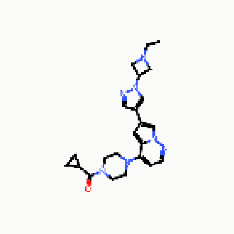 CCN1CC(n2cc(-c3cc4c(N5CCN(C(=O)C6CC6)CC5)ccnn4c3)cn2)C1